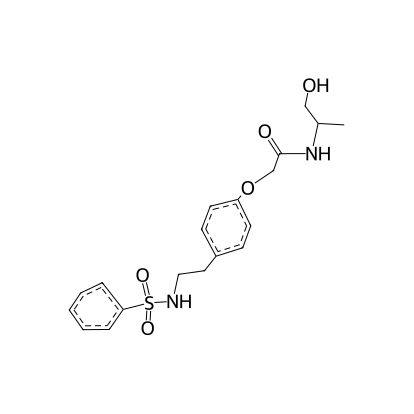 CC(CO)NC(=O)COc1ccc(CCNS(=O)(=O)c2ccccc2)cc1